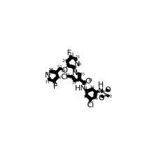 CS(=O)(=O)Nc1cc(Cl)cc(NC(=O)c2cc(Cl)n(-c3ncc(F)cc3OCc3cncc(F)c3)c2)c1